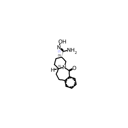 N/C(=N\O)[C@H]1CC[C@H]2CCc3ccccc3C(=O)N2C1